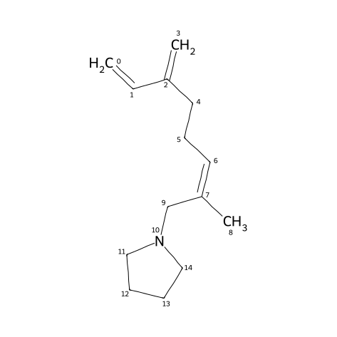 C=CC(=C)CC/C=C(/C)CN1CCCC1